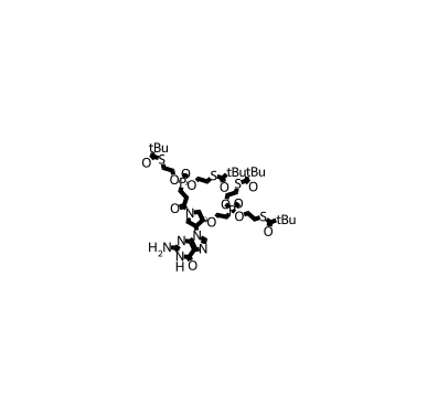 CC(C)(C)C(=O)SCCOP(=O)(CCO[C@H]1CN(C(=O)CCP(=O)(OCCSC(=O)C(C)(C)C)OCCSC(=O)C(C)(C)C)CC1n1cnc2c(=O)[nH]c(N)nc21)OCCSC(=O)C(C)(C)C